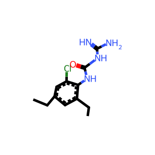 CCc1cc(Cl)c(NC(=O)NC(=N)N)c(CC)c1